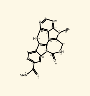 CNC(=O)c1ccc2c3c4n(c2c1)C(=O)NCc1c-4c2c(ncnc2n1C(C)C)N3